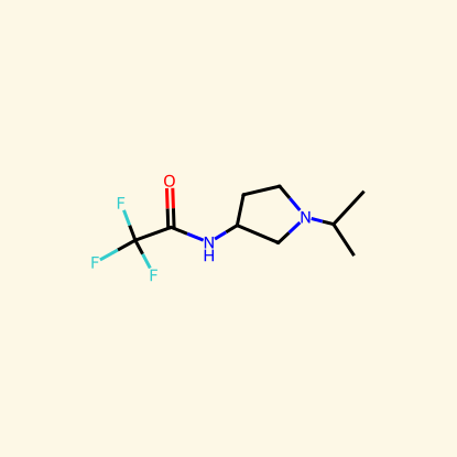 CC(C)N1CCC(NC(=O)C(F)(F)F)C1